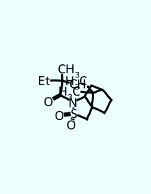 CCC(C)(C)C(=O)N1C2CC3CCC2(CS1(=O)=O)C3(C)C